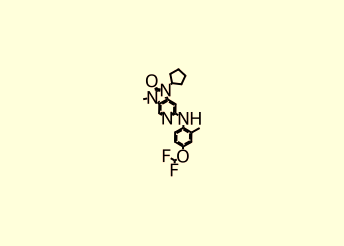 Cc1cc(OC(F)F)ccc1Nc1cc2c(cn1)n(C)c(=O)n2C1CCCC1